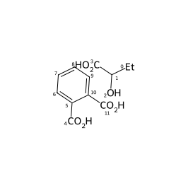 CCC(O)C(=O)O.O=C(O)c1ccccc1C(=O)O